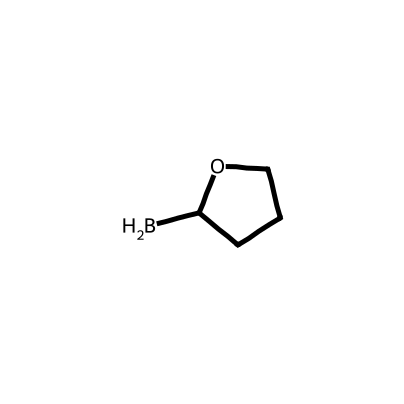 BC1CCCO1